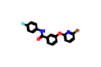 O=C(Nc1ccc(F)cc1)c1cccc(Oc2cccc(Br)n2)c1